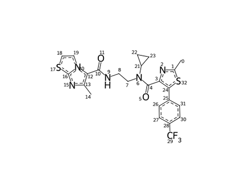 Cc1nc(C(=O)N(CCNC(=O)c2c(C)nc3sccn23)C2CC2)c(-c2ccc(C(F)(F)F)cc2)s1